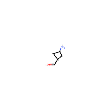 NC1CC([C]=O)C1